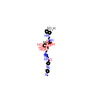 CC(=O)N[C@H]1[C@H](O[C@@H](OCCOCCn2cc(CNC(=O)c3ccc(/N=N/c4ccc(N(C)C)cc4)cc3)nn2)C(C)(O)C(=O)NCCNc2cccc3c(S(=O)(=O)O)cccc23)O[C@H](CO)[C@@H](O)[C@@H]1O